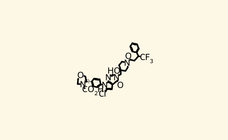 O=C(CC(c1ccccc1)C(F)(F)F)N1CCC(O)(Cn2cnc3c(cc(Cl)n3-c3ccc([C@H]4COCCN4C(=O)O)cc3)c2=O)CC1